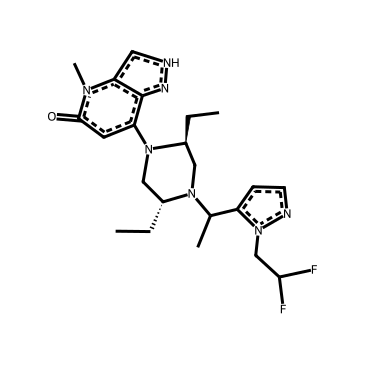 CC[C@H]1CN(C(C)c2ccnn2CC(F)F)[C@H](CC)CN1c1cc(=O)n(C)c2c[nH]nc12